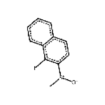 C[S+]([O-])c1ccc2ccccc2c1I